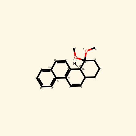 COC1(OC)CCCC2C=Cc3c(ccc4ccccc34)[C@H]21